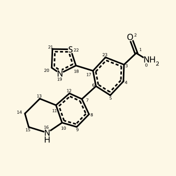 NC(=O)c1ccc(-c2ccc3c(c2)CCCN3)c(-c2nccs2)c1